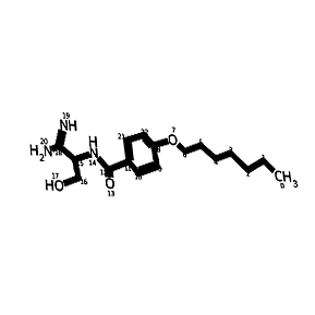 CCCCCCCOc1ccc(C(=O)NC(CO)C(=N)N)cc1